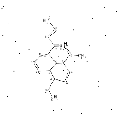 C=C(C)C1=C2C(C(=O)/C=C/C)=CC=CC2C(CC)C=C1